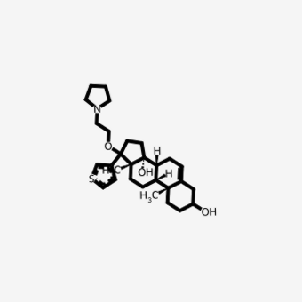 C[C@]12CCC(O)CC1=CC[C@@H]1[C@H]2CC[C@]2(C)C(OCCN3CCCC3)(c3ccsc3)CC[C@@]12O